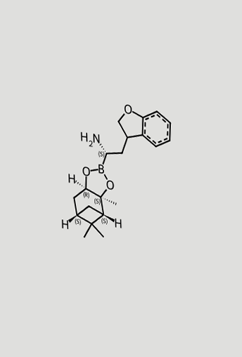 CC1(C)[C@@H]2C[C@H]3OB([C@H](N)CC4COc5ccccc54)O[C@@]3(C)[C@H]1C2